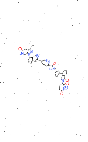 CCc1nn(-c2cccc3cc(-c4ccc(C(=O)NCc5cccc(-c6cccc7c6CN(C6CCC(=O)NC6=O)C7=O)c5)nc4)ncc23)c2c1CC(=O)N(C)C2